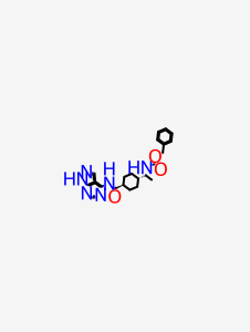 CC(NC(=O)OCc1ccccc1)[C@H]1CC[C@H](C(=O)Nc2ncnc3[nH]ncc23)CC1